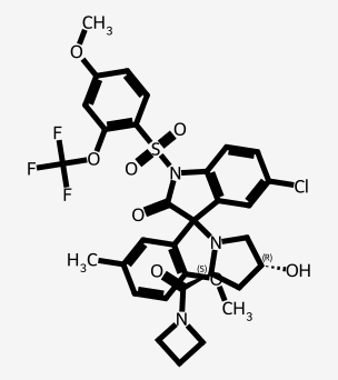 COc1ccc(S(=O)(=O)N2C(=O)C(c3cc(C)ccc3OC)(N3C[C@H](O)C[C@H]3C(=O)N3CCC3)c3cc(Cl)ccc32)c(OC(F)(F)F)c1